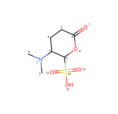 CN(C)C1CCC(=O)OC1S(=O)(=O)O